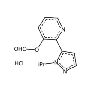 CC(C)n1nccc1-c1ncccc1OC=O.Cl